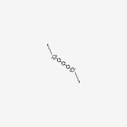 C=CCCCCCC[C@@H]1CO[C@@H](c2ccc(-c3ccc(-c4ccc([C@@H]5OC[C@@H](CCCCCCC=C)C(C)O5)cc4)cc3)cc2)OC1C